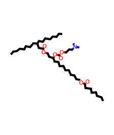 CCCCCCCCC(CCCCCCCC)CC(=O)OCCC(CCCCCCCCCCOC(=O)CCCCCCC)OC(=O)OCCCN(C)C